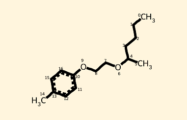 CCCCC(C)OCCOc1ccc(C)cc1